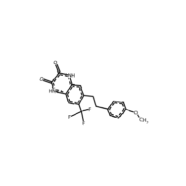 COc1ccc(CCc2cc3[nH]c(=O)c(=O)[nH]c3cc2C(F)(F)F)cc1